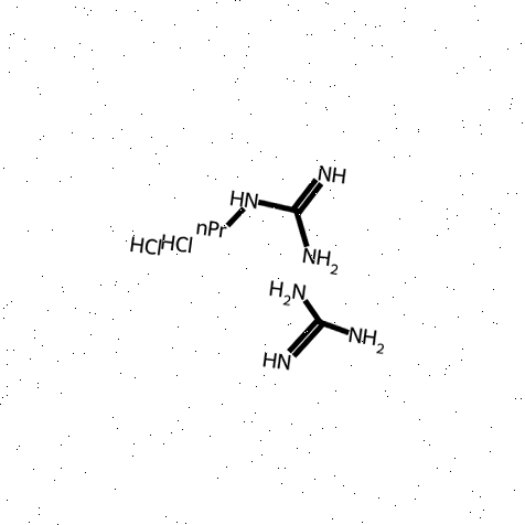 CCCNC(=N)N.Cl.Cl.N=C(N)N